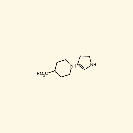 C1=CNCC1.O=C(O)N1CCNCC1